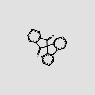 O=C1c2ccccc2C(=O)C12c1ccccc1-c1ccccc12